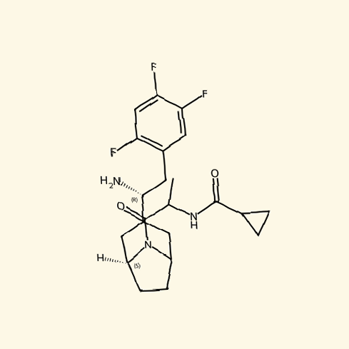 CC(NC(=O)C1CC1)C(=O)N1C2CC[C@H]1CC([C@H](N)Cc1cc(F)c(F)cc1F)C2